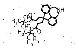 CC(C)(C)OC(=O)CCC1(CCC(=O)OC(C)(C)C)c2cccc3c2-c2c(cccc21)CNC3